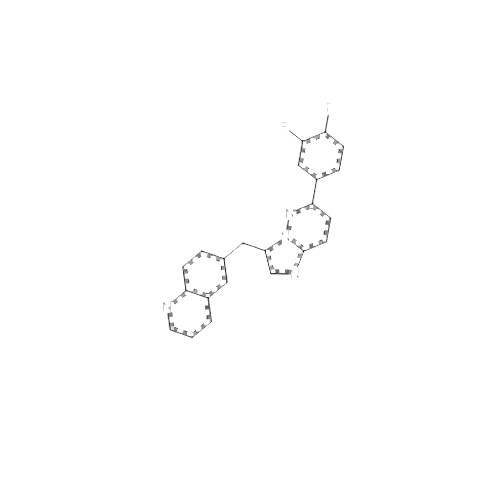 Fc1ccc(-c2ccc3ncc(Cc4ccc5ncccc5c4)n3n2)cc1F